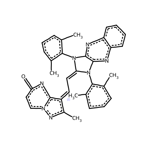 Cc1cccc(C)c1N1C(=C/C=c2/c(C)nn3ccc(=O)nc23)N(c2c(C)cccc2C)c2nc3ccccc3nc21